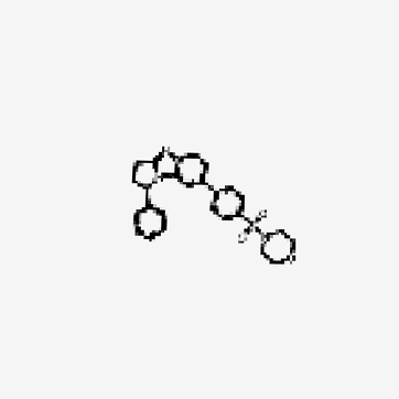 O=S(=O)(c1ccc(-c2ccc3nc4n(c3c2)C(c2ccccc2)CC4)cc1)N1CCOCC1